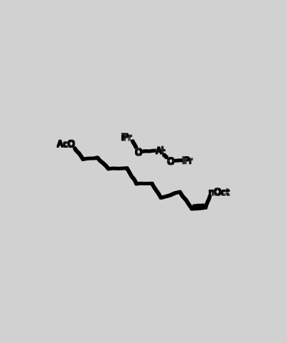 CC(C)[O][Al][O]C(C)C.CCCCCCCC/C=C\CCCCCCCCOC(C)=O